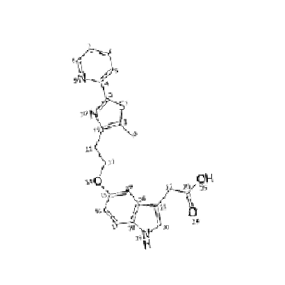 Cc1sc(-c2ccccn2)nc1CCOc1ccc2[nH]cc(CC(=O)O)c2c1